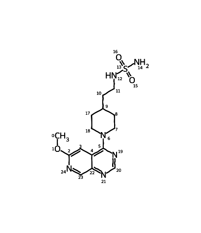 COc1cc2c(N3CCC(CCNS(N)(=O)=O)CC3)ncnc2cn1